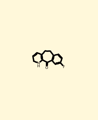 O=C1C2=C(C=CCN2)CCc2ccc(F)cc21